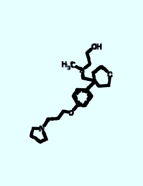 CN(CCO)CC1(c2ccc(OCCCN3CCCC3)cc2)CCOCC1